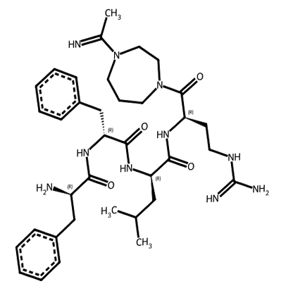 CC(=N)N1CCCN(C(=O)[C@@H](CCNC(=N)N)NC(=O)[C@@H](CC(C)C)NC(=O)[C@@H](Cc2ccccc2)NC(=O)[C@H](N)Cc2ccccc2)CC1